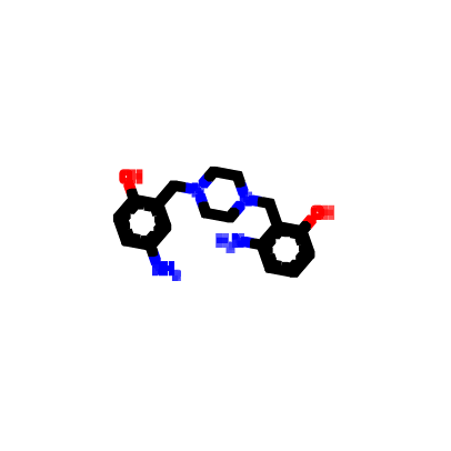 Nc1ccc(O)c(CN2CCN(Cc3c(N)cccc3O)CC2)c1